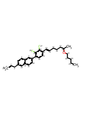 C=CCc1ccc2cc(-c3ccc(/C=C/CCCC(C)OCCCCC)c(F)c3F)ccc2c1